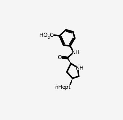 CCCCCCC[C@@H]1CN[C@H](C(=O)Nc2cccc(C(=O)O)c2)C1